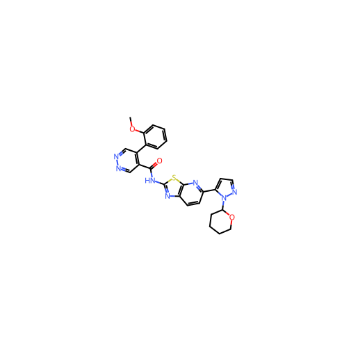 COc1ccccc1-c1cnncc1C(=O)Nc1nc2ccc(-c3ccnn3C3CCCCO3)nc2s1